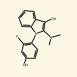 CN(C)c1c(C#N)c2ccccc2n1-c1ccc(O)cc1F